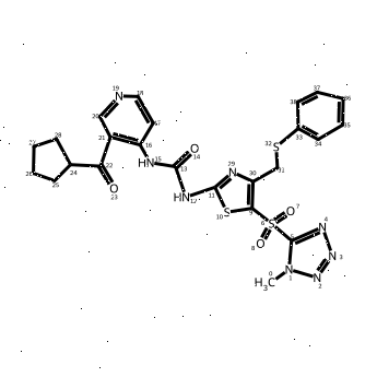 Cn1nnnc1S(=O)(=O)c1sc(NC(=O)Nc2ccncc2C(=O)C2CCCC2)nc1CSc1ccccc1